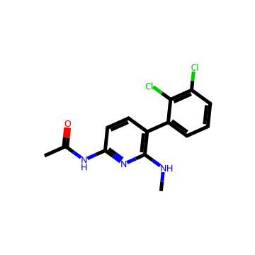 CNc1nc(NC(C)=O)ccc1-c1cccc(Cl)c1Cl